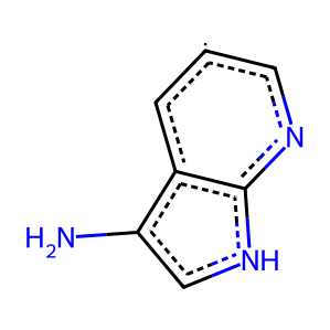 Nc1c[nH]c2nc[c]cc12